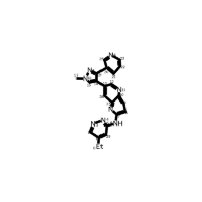 CCc1cnnc(Nc2ccc3ncc(-c4cn(C)nc4-c4cccnc4)cc3n2)c1